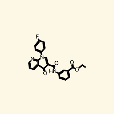 CCOC(=O)c1cccc(NC(=O)c2cn(-c3ccc(F)cc3)c3ncccc3c2=O)c1